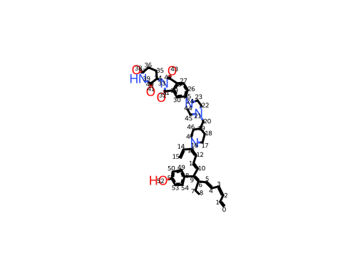 C=C\C=C/C=C/C(CC)=C(\C=C\C=C(/C=C)N1CCC(CN2CCN(c3ccc4c(c3)C(=O)N(C3CCC(=O)NC3=O)C4=O)CC2)CC1)c1ccc(O)cc1